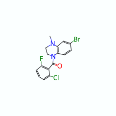 CN1CCN(C(=O)c2c(F)cccc2Cl)c2ccc(Br)cc21